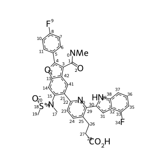 CNC(=O)c1c(-c2ccc(F)cc2)oc2cc(N(C)[S+](C)[O-])c(-c3ccc(CCC(=O)O)c(-c4cc5c(F)cccc5[nH]4)n3)cc12